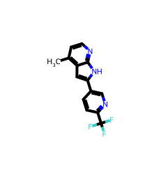 Cc1ccnc2[nH]c(-c3ccc(C(F)(F)F)nc3)cc12